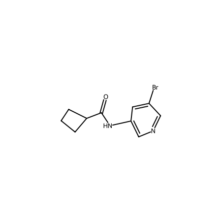 O=C(Nc1cncc(Br)c1)C1CCC1